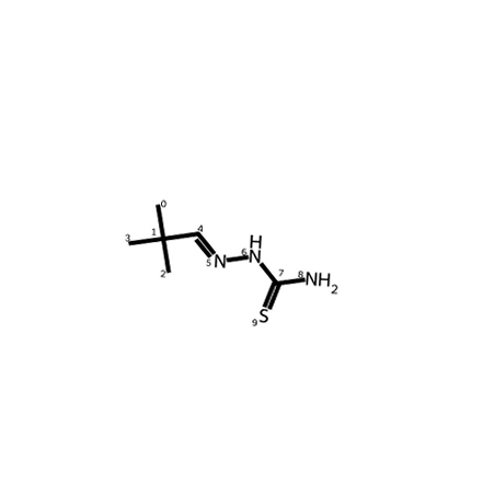 CC(C)(C)C=NNC(N)=S